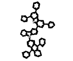 c1ccc(-c2cc(-c3ccccc3)c3sc4c(-c5ccc6c(c5)c5ccccc5n6-c5ccc6c(-c7ccccc7)c7ccccc7c(-c7ccccc7)c6c5)cc(-c5ccccc5)cc4c3c2)cc1